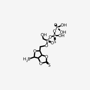 BC1OC(COP(=O)(CO)OP(O)(=S)OP(=O)(O)O)C2OC(=S)OC12